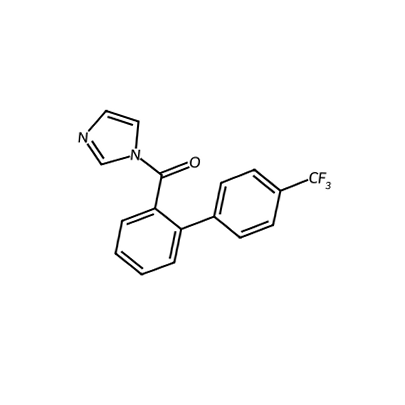 O=C(c1ccccc1-c1ccc(C(F)(F)F)cc1)n1ccnc1